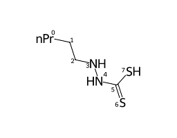 CCCCCNNC(=S)S